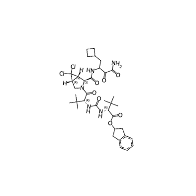 CC(C)(C)[C@@H](NC(=O)N[C@@H](C(=O)N1C[C@H]2[C@@H]([C@H]1C(=O)NC(CC1CCC1)C(=O)C(N)=O)C2(Cl)Cl)C(C)(C)C)C(=O)OC1Cc2ccccc2C1